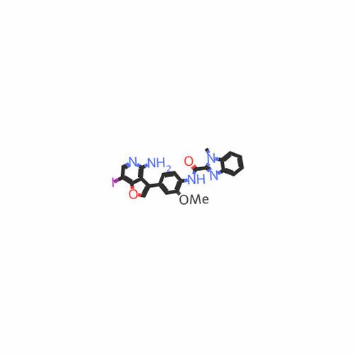 COc1cc(-c2coc3c(I)cnc(N)c23)ccc1NC(=O)c1nc2ccccc2n1C